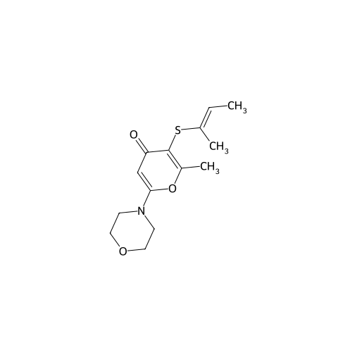 C/C=C(\C)Sc1c(C)oc(N2CCOCC2)cc1=O